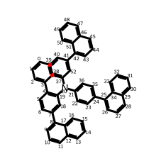 c1ccc(-c2ccc(-c3cccc4ccccc34)cc2N(c2ccc(-c3cccc4ccccc34)cc2)c2cccc(-c3cccc4ccccc34)c2)cc1